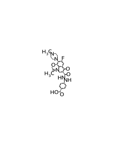 C[C@H]1COc2c(N3CCN(C)CC3)c(F)cc3c(=O)c(C(=O)NNc4ccc(C(=O)O)cc4)cn1c23